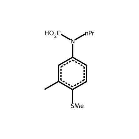 CCCN(C(=O)O)c1ccc(SC)c(C)c1